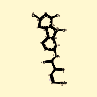 CN/C=C\C(=N)C(=O)Nc1ccc2c3cc(Cl)cc(Cl)c3n(Cl)c2n1